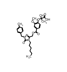 CCCCCCn1c(COC(=O)c2ccc(OC(C)(C)C(=O)O)c(OC)c2)nn(Cc2ccc(C)cc2)c1=O